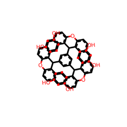 Oc1ccc2c3c(ccc2c1)Oc1ccc2cc(O)ccc2c1C3c1cc(C2c3c(ccc4cc(O)ccc34)Oc3ccc4cc(O)ccc4c32)cc(C2c3c(ccc4cc(O)ccc34)Oc3ccc4cc(O)ccc4c32)c1